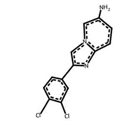 Nc1ccc2nc(-c3ccc(Cl)c(Cl)c3)cn2c1